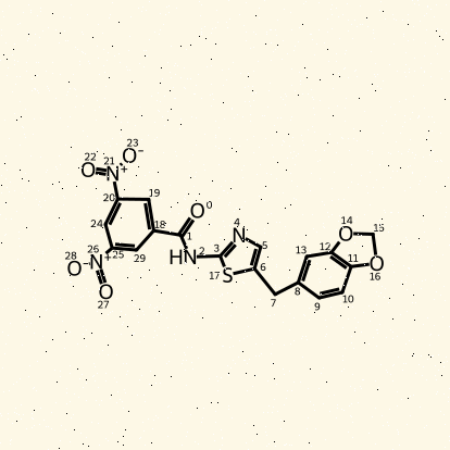 O=C(Nc1ncc(Cc2ccc3c(c2)OCO3)s1)c1cc([N+](=O)[O-])cc([N+](=O)[O-])c1